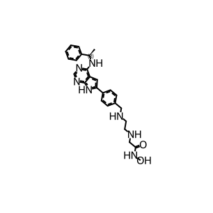 C[C@@H](Nc1ncnc2[nH]c(-c3ccc(CNCCNCC(=O)NO)cc3)cc12)c1ccccc1